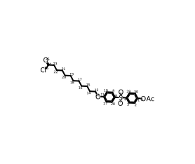 CC(=O)Oc1ccc(S(=O)(=O)c2ccc(OCCCCCCCCCCCC(=O)Cl)cc2)cc1